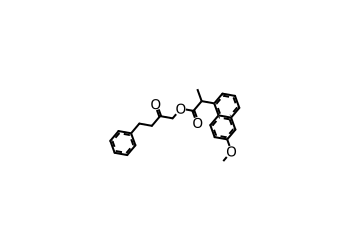 COc1ccc2c(C(C)C(=O)OCC(=O)CCc3ccccc3)cccc2c1